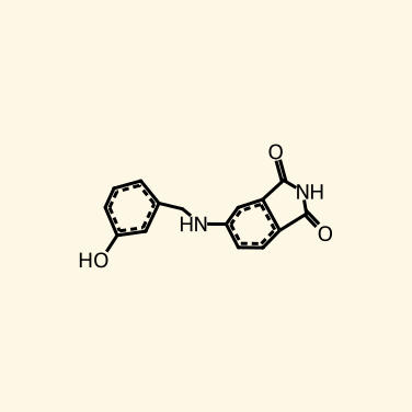 O=C1NC(=O)c2cc(NCc3cccc(O)c3)ccc21